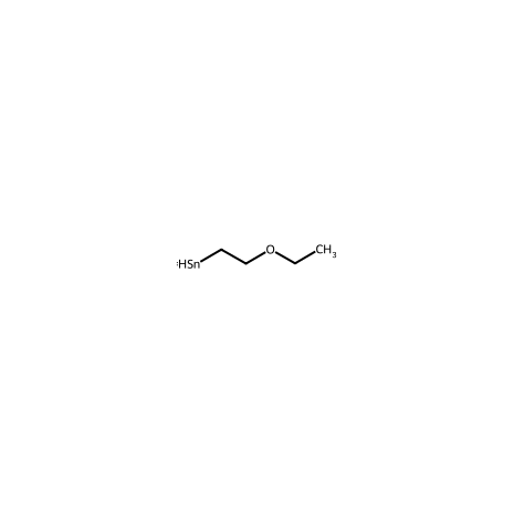 CCOC[CH2][SnH]